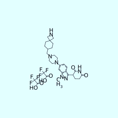 Cn1nc(C2CCC(=O)NC2=O)c2ccc(N3CCN(CC4CCC5(CC4)CNC5)CC3)cc21.O=C(O)C(F)(F)F.O=C(O)C(F)(F)F